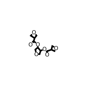 O=C(OC1COCC1OC(=O)C1COC1)C1COC1